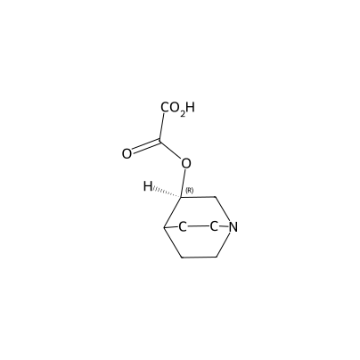 O=C(O)C(=O)O[C@H]1CN2CCC1CC2